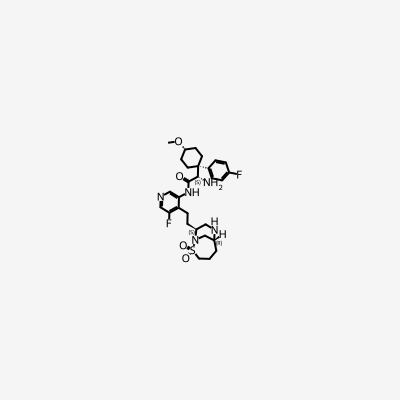 CO[C@H]1CC[C@](c2ccc(F)cc2)([C@H](N)C(=O)Nc2cncc(F)c2CC[C@H]2CN[C@@H]3CCCS(=O)(=O)N2C3)CC1